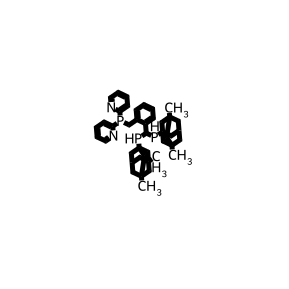 CC12CC3CC(C)(C1)CC(PC(PC14CC5CC(C)(CC(C)(C5)C1)C4)c1ccccc1CP(c1ccccn1)c1ccccn1)(C3)C2